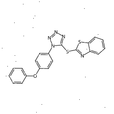 c1ccc(Oc2ccc(-n3nnnc3Sc3nc4ccccc4s3)cc2)cc1